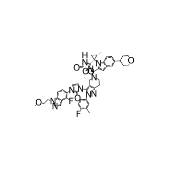 COCCn1ncc2c(F)c(-n3ccn(-c4c5c(nn4-c4ccc(F)c(C)c4)CCN(C(=O)c4cc6cc(C7CCOCC7)ccc6n4[C@@]4(c6noc(=O)[nH]6)C[C@@H]4C)[C@H]5C)c3=O)ccc21